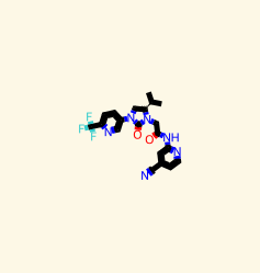 CC(C)[C@H]1CN(c2ccc(C(F)(F)F)nc2)C(=O)N1CC(=O)Nc1cc(C#N)ccn1